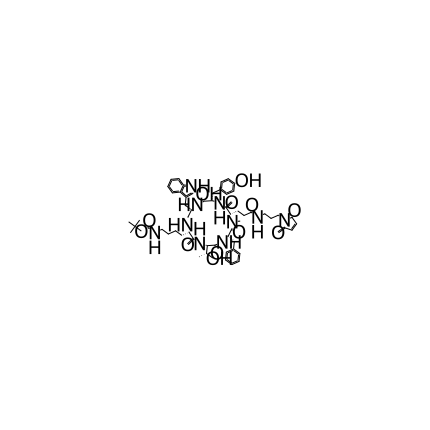 C[C@@H](O)[C@@H]1NC(=O)[C@H](CCCCNC(=O)OC(C)(C)C)NC[C@@H](Cc2c[nH]c3ccccc23)NC(O)[C@H](Cc2ccc(O)cc2)NC(=O)[C@H](CCC(=O)NCCCN2C(=O)C=CC2=O)N(C)C(=O)[C@H](Cc2ccccc2)NC1=O